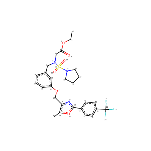 CCOC(=O)CN(Cc1cccc(OCc2nc(-c3ccc(C(F)(F)F)cc3)oc2C)c1)S(=O)(=O)N1CCCC1